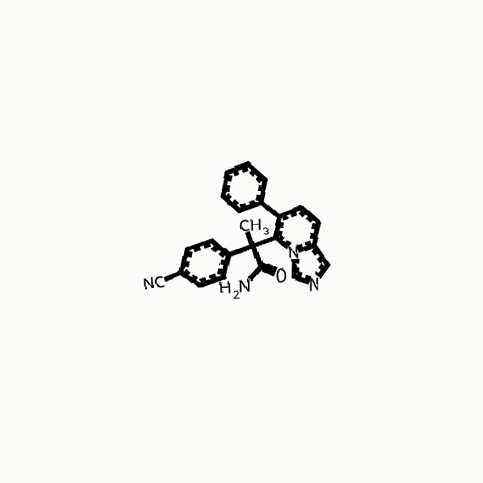 CC(C(N)=O)(c1ccc(C#N)cc1)c1c(-c2ccccc2)ccc2cncn12